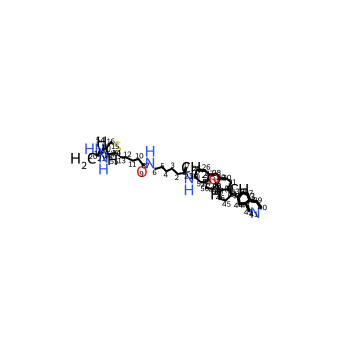 C=C(CCCCCNC(=O)CCCC[C@@H]1SC[C@@H]2NC(=C)N[C@@H]21)N[C@@H]1C=CC2=CC3=CC[C@]4(C)[C@@H](c5ccc6ccncc6c5)CC[C@H]4[C@@]34CC[C@]2(C1)O4